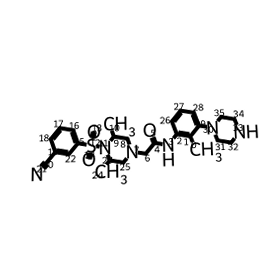 Cc1c(NC(=O)CN2CC(C)N(S(=O)(=O)c3cccc(C#N)c3)C(C)C2)cccc1N1CCNCC1